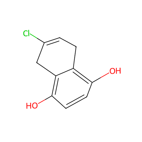 Oc1ccc(O)c2c1CC=C(Cl)C2